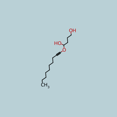 CCCCCCCCC#COC(O)CCCO